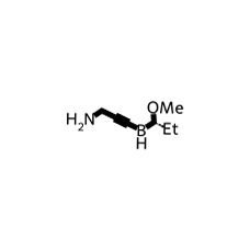 CC[C@H](BC#CCN)OC